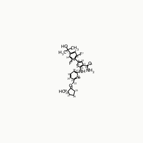 CC(C)(O)c1cc(F)c(-c2cc(C(N)=O)c(Nc3cccc(CO[C@@H]4CCC[C@@H]4O)n3)s2)c(F)c1